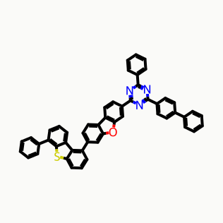 c1ccc(-c2ccc(-c3nc(-c4ccccc4)nc(-c4ccc5c(c4)oc4cc(-c6cccc7sc8c(-c9ccccc9)cccc8c67)ccc45)n3)cc2)cc1